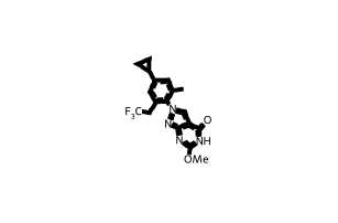 COc1nc2nn(-c3c(C)cc(C4CC4)cc3CC(F)(F)F)cc2c(=O)[nH]1